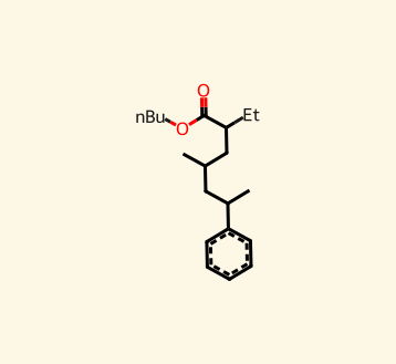 CCCCOC(=O)C(CC)CC(C)CC(C)c1ccccc1